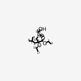 CCOC(=O)C(CC(C)C)(C[PH](=O)CO)OCC